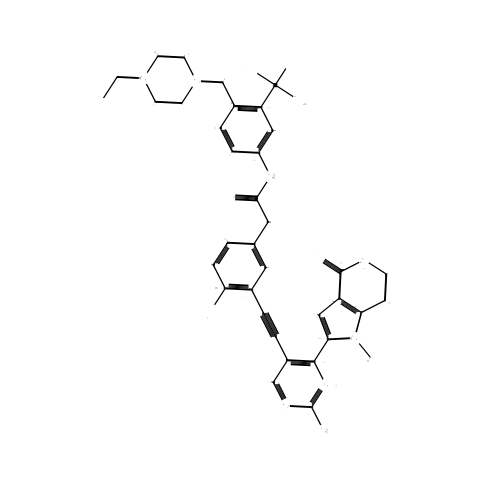 CCN1CCN(Cc2ccc(NC(=O)Cc3ccc(F)c(C#Cc4cnc(N)nc4-c4cc5c(n4C)CCNC5=O)c3)cc2C(F)(F)F)CC1